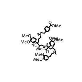 COC(=O)c1ccc(CCN(C)CCCC(C#N)(c2ccc(OC)c(OC)c2)C(C)CCC(C)C(CCCN(C)CCc2ccc(OC)c(OC)c2)(C(=O)OC)c2ccc(OC)c(OC)c2)cc1